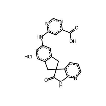 Cl.O=C(O)c1cc(Nc2ccc3c(c2)CC2(C3)C(=O)Nc3ncccc32)ncn1